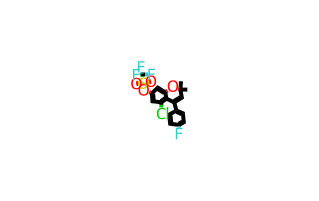 CC1(C)C=C(c2ccc(F)cc2)c2c(Cl)cc(OS(=O)(=O)C(F)(F)F)cc2O1